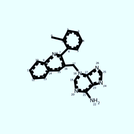 Cc1ccccc1-c1nc2ccccc2cc1Cn1cnc(N)c2ncnc1-2